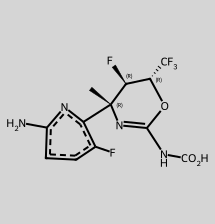 C[C@]1(c2nc(N)ccc2F)N=C(NC(=O)O)O[C@@H](C(F)(F)F)[C@@H]1F